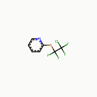 FC(F)(Cl)C(F)(F)Sc1ccccn1